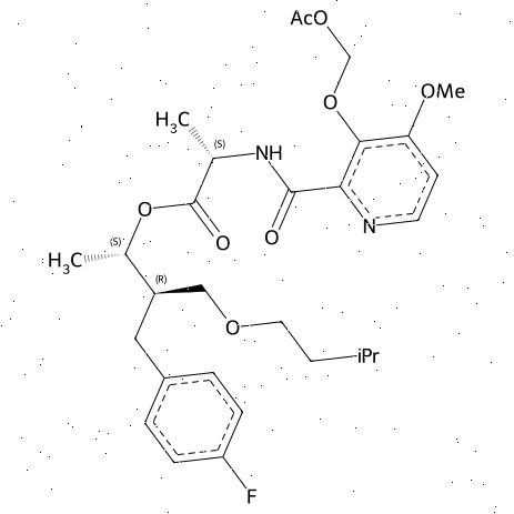 COc1ccnc(C(=O)N[C@@H](C)C(=O)O[C@@H](C)[C@@H](COCCC(C)C)Cc2ccc(F)cc2)c1OCOC(C)=O